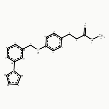 COC(=O)CCc1ccc(OCc2cccc(-n3cccc3)c2)cc1